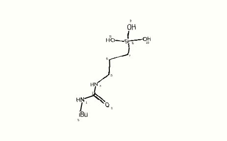 CCC(C)NC(=O)NCCC[Si](O)(O)O